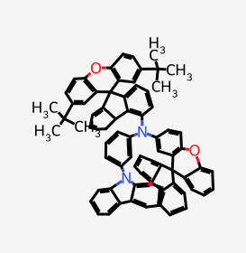 CC(C)(C)c1ccc2c(c1)C1(C3=CC=CCC3c3c(N(c4cccc(-n5c6ccccc6c6ccccc65)c4)c4ccc5c(c4)C4(c6ccccc6O5)c5ccccc5-c5ccccc54)cccc31)c1cc(C(C)(C)C)ccc1O2